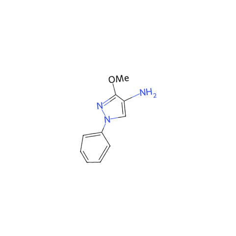 COc1nn(-c2ccccc2)cc1N